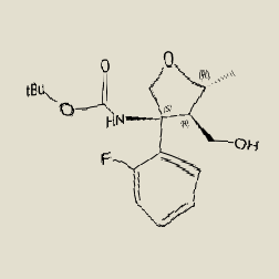 C[C@H]1OC[C@@](NC(=O)OC(C)(C)C)(c2ccccc2F)[C@@H]1CO